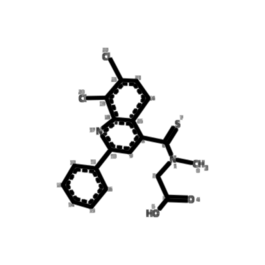 CN(CC(=O)O)C(=S)c1cc(-c2ccccc2)nc2c(Cl)c(Cl)ccc12